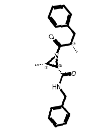 C[C@@H](Cc1ccccc1)C(=O)N1[C@H](C(=O)NCc2ccccc2)[C@@H]1C